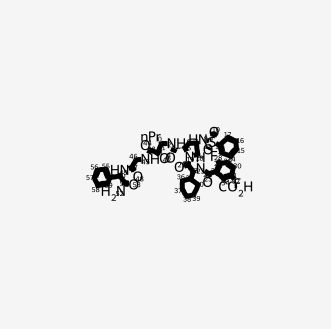 CCCC(NC(=O)[C@@H]1C[C@@H](NS(=O)(=O)c2ccccc2)CN1C(=O)[C@H](NC(=O)c1c(F)ccc(F)c1C(=O)O)C1CCCCC1)C(=O)C(=O)NCC(=O)N[C@@H](C(N)=O)c1ccccc1